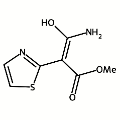 COC(=O)C(=C(N)O)c1nccs1